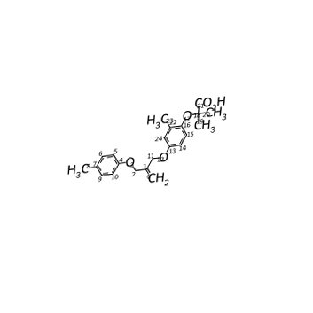 C=C(COc1ccc(C)cc1)COc1ccc(OC(C)(C)C(=O)O)c(C)c1